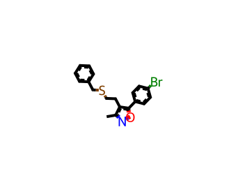 Cc1noc(-c2ccc(Br)cc2)c1CCSCc1ccccc1